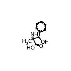 C[C@@](N)(C(=O)O)C(O)c1ccccc1